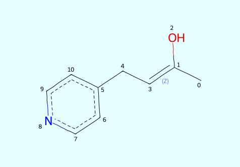 C/C(O)=C/Cc1ccncc1